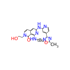 Cc1nc(-c2ccnc(Nc3cc4ccn(CCO)c(=O)c4c(NC(C)(C)C)n3)c2)no1